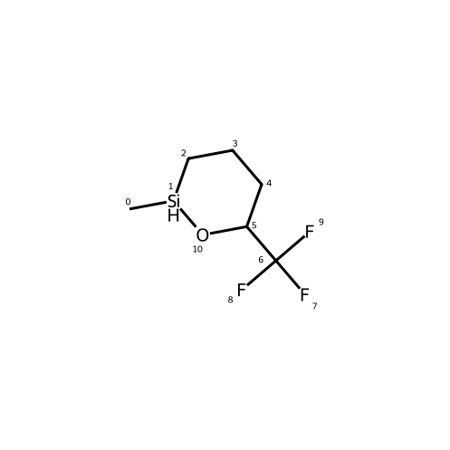 C[SiH]1CCCC(C(F)(F)F)O1